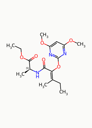 CCOC(=O)[C@H](C)NC(=O)C(Oc1nc(OC)cc(OC)n1)=C(C)CC